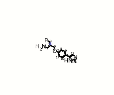 NC/C(=C\F)COc1ccc(-c2cnn[nH]2)cc1